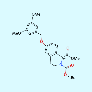 COC(=O)[C@H]1c2ccc(OCc3cc(OC)cc(OC)c3)cc2CCN1C(=O)OC(C)(C)C